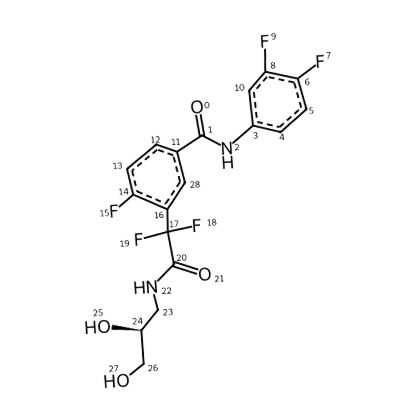 O=C(Nc1ccc(F)c(F)c1)c1ccc(F)c(C(F)(F)C(=O)NC[C@H](O)CO)c1